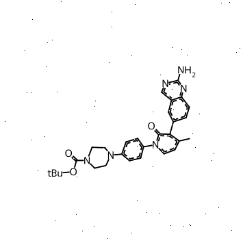 Cc1ccn(-c2ccc(N3CCN(C(=O)OC(C)(C)C)CC3)cc2)c(=O)c1-c1ccc2nc(N)ncc2c1